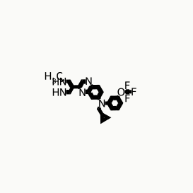 CN/C=C(\C=N)c1cnc2ccc(N(CC3CC3)c3cccc(OC(F)(F)F)c3)cc2n1